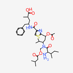 CCC(C)C(N)C(=O)N(COC(=O)CC(C)C)C(CC(OC(C)=O)c1nc(C(=O)NC(Cc2ccccc2)CC(C)C(=O)O)cs1)C(C)C